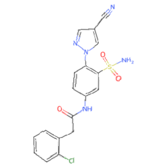 N#Cc1cnn(-c2ccc(NC(=O)Cc3ccccc3Cl)cc2S(N)(=O)=O)c1